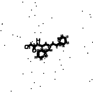 O=C(CCl)NCCN(CCc1ccccn1)Cc1ccccn1